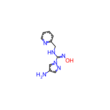 Nc1cnn(C(=NO)NCc2ccccn2)c1